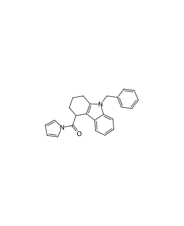 O=C(C1CCCc2c1c1ccccc1n2Cc1ccccc1)n1cccc1